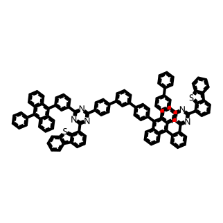 c1ccc(-c2cccc(-c3nc(-c4ccccc4-c4c5ccccc5c(-c5ccc(-c6cccc(-c7ccc(-c8nc(-c9cccc(-c%10c%11ccccc%11c(-c%11ccccc%11)c%11ccccc%10%11)c9)nc(-c9cccc%10c9sc9ccccc9%10)n8)cc7)c6)cc5)c5ccccc45)nc(-c4cccc5c4sc4ccccc45)n3)c2)cc1